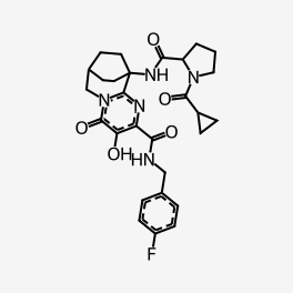 O=C(NCc1ccc(F)cc1)c1nc2n(c(=O)c1O)CC1CCC2(NC(=O)C2CCCN2C(=O)C2CC2)CC1